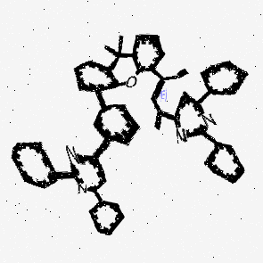 C=C/C(=C\C(=C)c1cc(-c2ccccc2)nc(-c2ccccc2)n1)c1cccc2c1Oc1c(-c3cccc(-c4cc(-c5ccccc5)nc(-c5ccccc5)n4)c3)cccc1C2(C)C